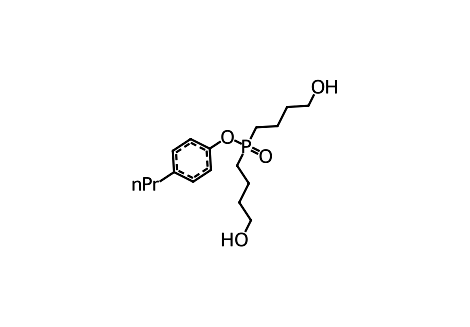 CCCc1ccc(OP(=O)(CCCCO)CCCCO)cc1